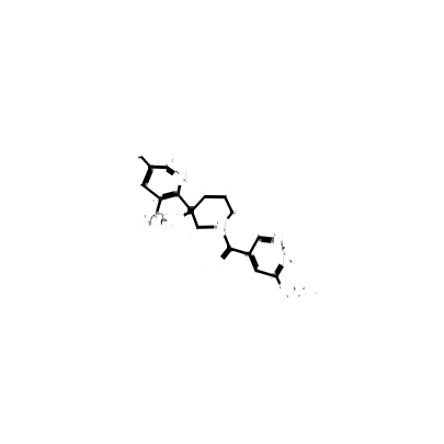 CNc1cc(C(=O)N2CCCC(OC)(c3ncc(Cl)cc3C(F)(F)F)C2)cnn1